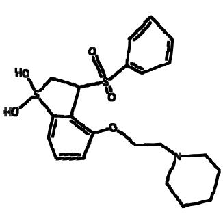 O=S(=O)(c1ccccc1)C1CS(O)(O)c2cccc(OCCN3CCCCC3)c21